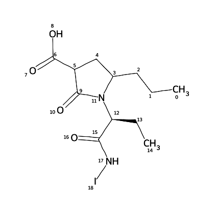 CCCC1CC(C(=O)O)C(=O)N1[C@@H](CC)C(=O)NI